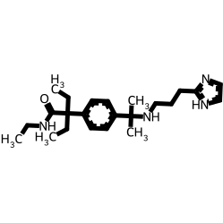 CCNC(=O)C(CC)(CC)c1ccc(C(C)(C)NCCCc2ncc[nH]2)cc1